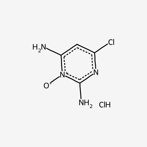 Cl.Nc1cc(Cl)nc(N)[n+]1[O-]